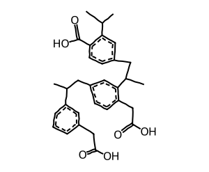 CC(C)c1cc(CC(C)c2cc(CC(C)c3cccc(CC(=O)O)c3)ccc2CC(=O)O)ccc1C(=O)O